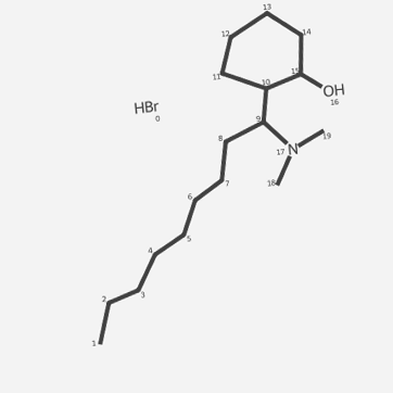 Br.CCCCCCCCC(C1CCCCC1O)N(C)C